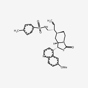 C=C[C@@H](CNS(=O)(=O)c1ccc(C)cc1)[C@H]1CCN2C(=O)S[C@H](c3ccnc4ccc(OC)cc34)[C@@H]2C1